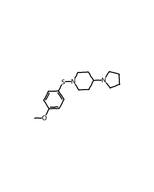 COc1ccc(SN2CCC(N3CCCC3)CC2)cc1